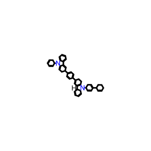 C1=CCC(n2c3c(c4ccccc42)=CC(c2ccc(C4=CC5=C(CC4)N(C4C=CC(C6C=CCCC6)=CC4)C4C=CC=C[C@H]54)cc2)CC=3)C=C1